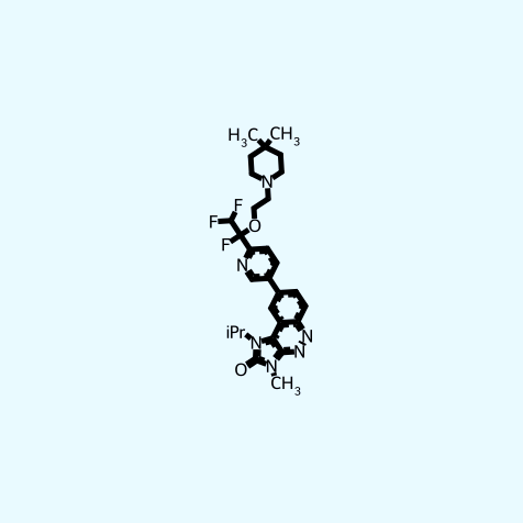 CC(C)n1c(=O)n(C)c2nnc3ccc(-c4ccc(C(F)(OCCN5CCC(C)(C)CC5)C(F)F)nc4)cc3c21